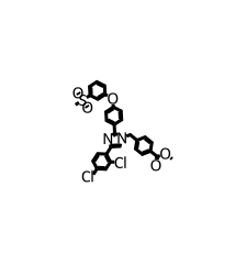 COC(=O)c1ccc(Cn2cc(-c3ccc(Cl)cc3Cl)nc2-c2ccc(Oc3cccc(S(C)(=O)=O)c3)cc2)cc1